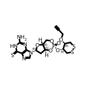 C#CCO[C@H]1CSSC[C@@H]1OP1(=O)OC[C@H]2O[C@@H](n3cnc4c(=S)[nH]c(N)nc43)C[C@@H]2O1